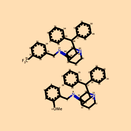 COc1ccccc1CN=C1C2CCN(CC2)C1C(c1ccccc1)c1ccccc1.FC(F)(F)c1cccc(CN=C2C3CCN(CC3)C2C(c2ccccc2)c2ccccc2)c1